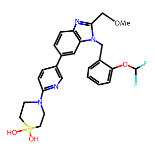 COCc1nc2ccc(-c3ccc(N4CCS(O)(O)CC4)nc3)cc2n1Cc1ccccc1OC(F)F